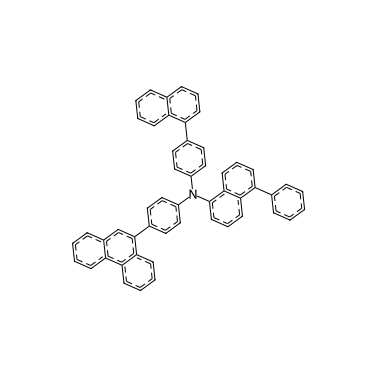 c1ccc(-c2cccc3c(N(c4ccc(-c5cccc6ccccc56)cc4)c4ccc(-c5cc6ccccc6c6ccccc56)cc4)cccc23)cc1